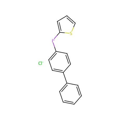 [Cl-].c1ccc(-c2ccc([I+]c3cccs3)cc2)cc1